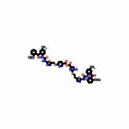 COc1ccccc1C(=O)c1cc(C)ccc1NC(=O)Nc1ncc(CCSc2nc(C(=O)OC(=O)c3ccc(SCc4cnc(NC(=O)Nc5ccc(C)cc5C(=O)c5ccccc5OC)s4)nc3)c[nH]2)s1